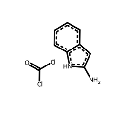 Nc1cc2ccccc2[nH]1.O=C(Cl)Cl